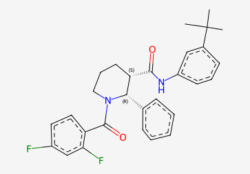 CC(C)(C)c1cccc(NC(=O)[C@H]2CCCN(C(=O)c3ccc(F)cc3F)[C@H]2c2ccccc2)c1